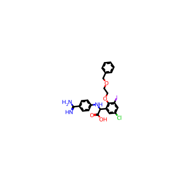 N=C(N)c1ccc(NC(C(=O)O)c2cc(Cl)cc(I)c2OCCOCc2ccccc2)cc1